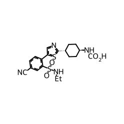 CCNS(=O)(=O)c1cc(C#N)ccc1-c1cnc([C@H]2CC[C@H](NC(=O)O)CC2)s1